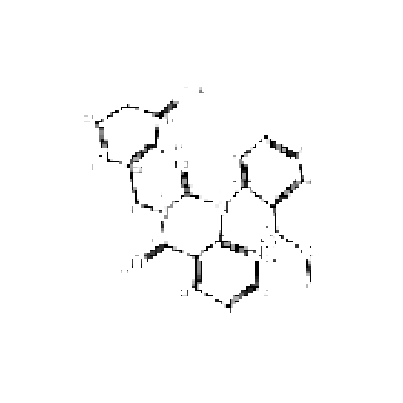 COC(=O)c1ccccc1-n1c(=O)n(CC2=CC(=O)CC=N2)c(=O)c2cccnc21